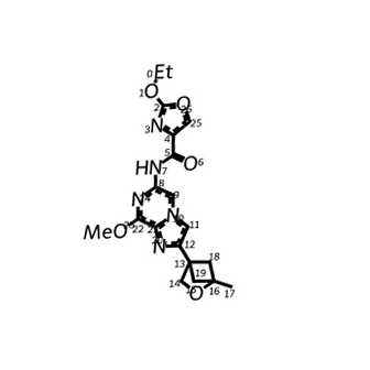 CCOc1nc(C(=O)Nc2cn3cc(C45COC(C)(C4)C5)nc3c(OC)n2)co1